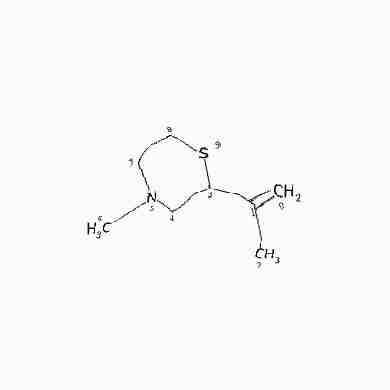 C=C(C)C1CN(C)CCS1